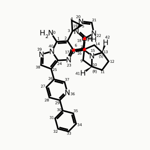 Nc1c(C2CC2)c([C@@]2(O)C[C@H]3CC[C@@H](C2)N3C(=O)c2nnc[nH]2)nc2c(-c3ccc(-c4ccccc4)nc3)cnn12